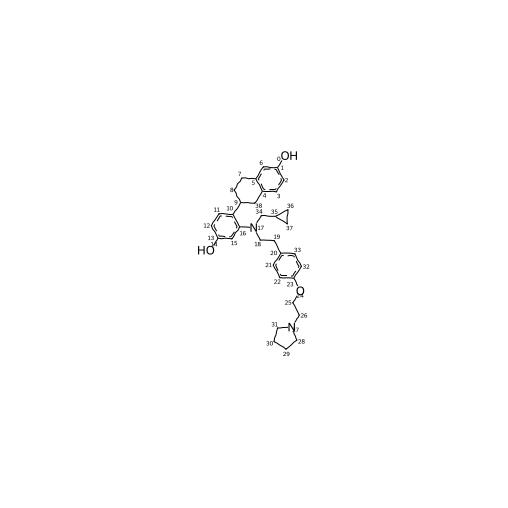 Oc1ccc2c(c1)CCC(c1ccc(O)cc1N(CCc1ccc(OCCN3CCCC3)cc1)CC1CC1)C2